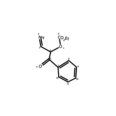 CCOC(=O)OC(C=N)C(=O)c1ccccc1